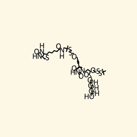 CC(C)(C)SSCO[C@@H]1C[C@H](n2cc(C#CCOCSSC(C)(C)CNC(=O)CCCCC3SCC4NC(=O)NC43)c(=O)[nH]c2=O)O[C@@H]1COPOPOPO